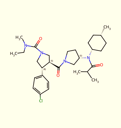 CCN(C)C(=O)N1C[C@@H](C(=O)N2CC[C@H](N(C(=O)C(C)C)[C@H]3CC[C@@H](C)CC3)C2)[C@H](c2ccc(Cl)cc2)C1